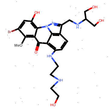 COc1c(Br)cc(O)c2c1c(=O)c1c(NCCNCCO)ccc3c(CNC(CO)CO)nn2c31